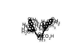 C=C(C)C1CCC2(C(=O)NCCCCC(C)C(=O)NC(CCCCNC(=O)C34CCC(C(=C)C)C3C3CCC5C6(C)CCC(=O)C(C)(C)C6CCC5(C)C3(C)CC4)C(=O)O)CCC3(C)C(CCC4C5(C)CCC(=O)C(C)(C)C5CCC43C)C12